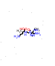 CNCc1c(N)ncnc1N(C=O)CCNC(C(=O)O)C(C)CCCN